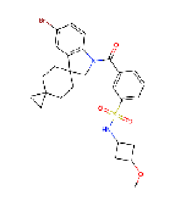 COC1CC(NS(=O)(=O)c2cccc(C(=O)N3CC4(CCC5(CC5)CC4)c4cc(Br)ccc43)c2)C1